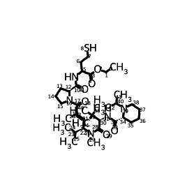 CCOC(=O)C(CCS)NC(=O)[C@@H]1CCCN1C(=O)/C(C)=C/[C@H](C(C)C)N(C)C(=O)[C@@H](NC(=O)[C@H]1CCCCN1C(C)C)C(C)(C)C